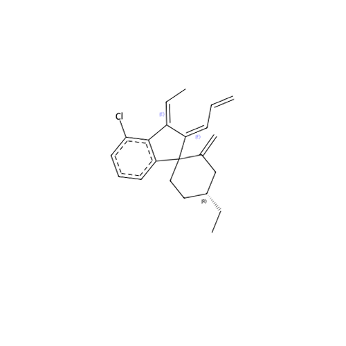 C=C/C=C1\C(=C/C)c2c(Cl)cccc2C12CC[C@@H](CC)CC2=C